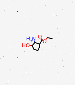 CCOC(=O)C1CCCC(O)C1N